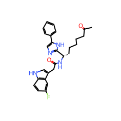 CC(=O)CCCCC[C@H](NC(=O)Cc1c[nH]c2ccc(F)cc12)c1ncc(-c2ccccc2)[nH]1